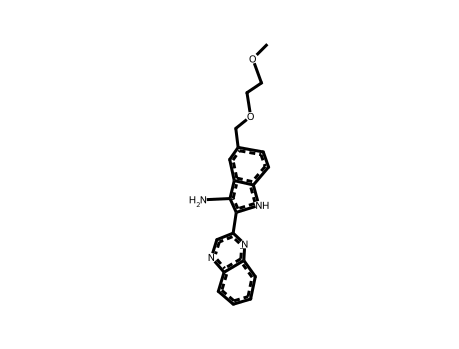 COCCOCc1ccc2[nH]c(-c3cnc4ccccc4n3)c(N)c2c1